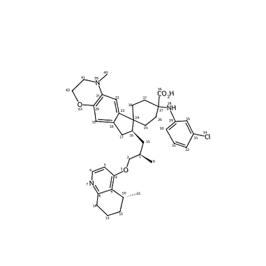 C[C@@H](COc1ccnc2c1[C@H](C)CCC2)C[C@H]1Cc2cc3c(cc2C12CCC(Nc1cccc(Cl)c1)(C(=O)O)CC2)N(C)CCO3